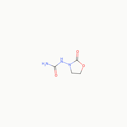 NC(=O)NN1CCOC1=O